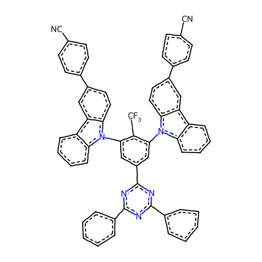 N#Cc1ccc(-c2ccc3c(c2)c2ccccc2n3-c2cc(-c3nc(-c4ccccc4)nc(-c4ccccc4)n3)cc(-n3c4ccccc4c4cc(-c5ccc(C#N)cc5)ccc43)c2C(F)(F)F)cc1